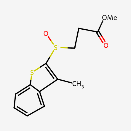 COC(=O)CC[S+]([O-])c1sc2ccccc2c1C